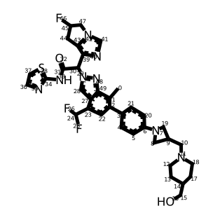 Cc1c(-c2ccc(N3CC(CN4CCC(CO)CC4)C3)cc2)cc(C(F)F)c2cn(C(C(=O)Nc3nccs3)c3ncn4c3CC(F)C4)nc12